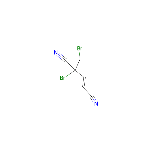 N#CC=CC(Br)(C#N)CBr